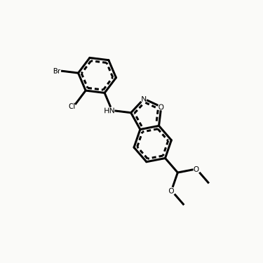 COC(OC)c1ccc2c(Nc3cccc(Br)c3Cl)noc2c1